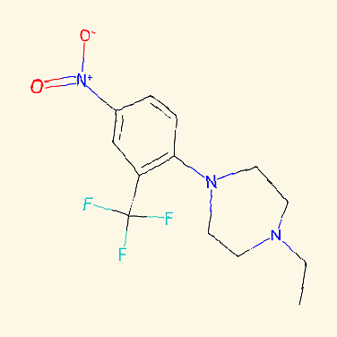 CCN1CCN(c2ccc([N+](=O)[O-])cc2C(F)(F)F)CC1